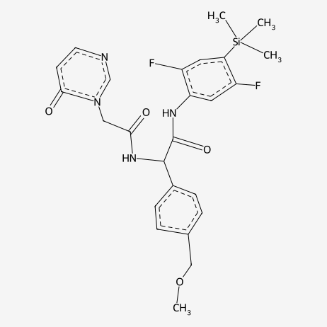 COCc1ccc(C(NC(=O)Cn2cnccc2=O)C(=O)Nc2cc(F)c([Si](C)(C)C)cc2F)cc1